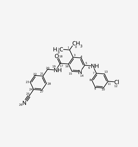 CC(C)c1cc(Nc2cccc(Cl)c2)ncc1C(=O)NCc1ccc(C#N)cc1